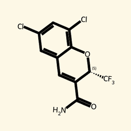 NC(=O)C1=Cc2cc(Cl)cc(Cl)c2O[C@@H]1C(F)(F)F